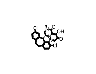 CN1C[C@H](C2c3cc(Cl)ccc3CCc3ccc(Cl)cc32)n2ncc(=O)c(O)c2C1=O